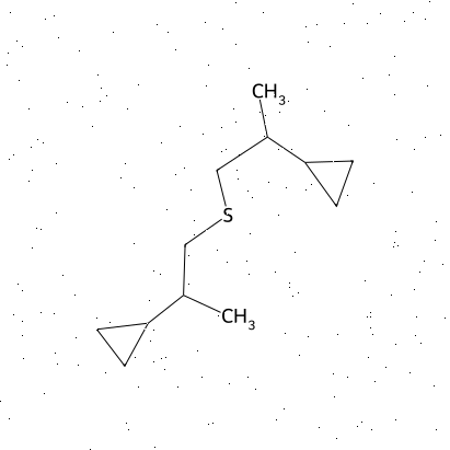 CC(CSCC(C)C1CC1)C1CC1